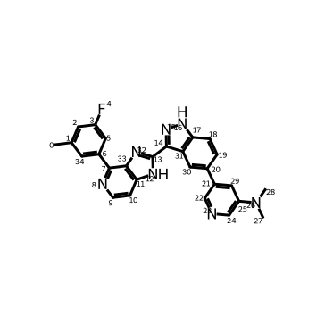 Cc1cc(F)cc(-c2nccc3[nH]c(-c4n[nH]c5ccc(-c6cncc(N(C)C)c6)cc45)nc23)c1